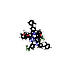 Cc1ccccc1-c1ccc2c(c1)c1cc(-c3ccccc3C)ccc1n2-c1ccc(C(F)(F)F)cc1-c1nc(-c2ccccc2)nc(-c2cc(C(F)(F)F)ccc2-n2c3ccc(-c4ccccc4C)cc3c3cc(-c4ccccc4C)ccc32)n1